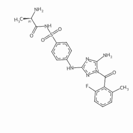 Cc1cccc(F)c1C(=O)n1nc(Nc2ccc(S(=O)(=O)NC(=O)[C@@H](C)N)cc2)nc1N